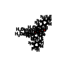 [2H]c1c([2H])c(C([2H])([2H])Sc2nc(=O)c3c(n2CC(=O)N(C([2H])([2H])c2c([2H])c([2H])c(-c4c([2H])c([2H])c(C(F)(F)F)c([2H])c4[2H])c([2H])c2C)C([2H])([2H])C([2H])([2H])N(CC)CC)CCC3)c([2H])c([2H])c1F